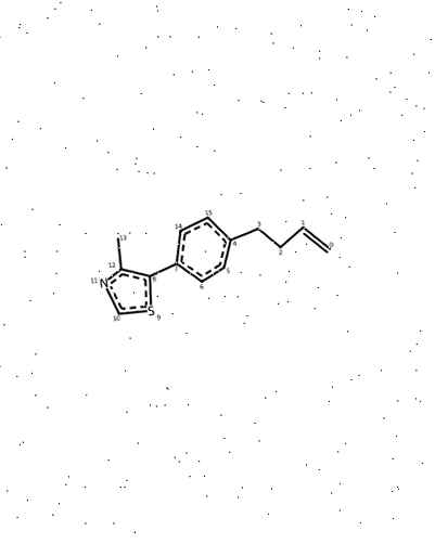 C=CCCc1ccc(-c2scnc2C)cc1